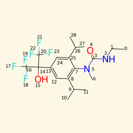 CCNC(=O)N(C)c1c(C(C)C)cc(C(O)(C(F)(F)F)C(F)(F)F)cc1C(C)C